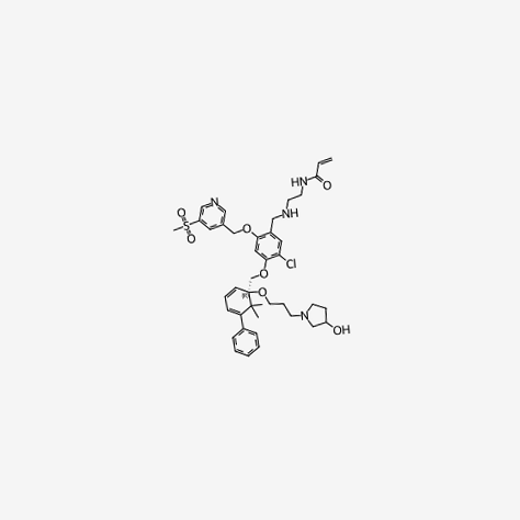 C=CC(=O)NCCNCc1cc(Cl)c(OC[C@@]2(OCCCN3CCC(O)C3)C=CC=C(c3ccccc3)C2(C)C)cc1OCc1cncc(S(C)(=O)=O)c1